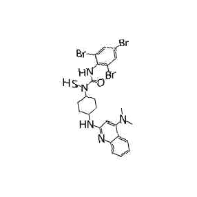 CN(C)c1cc(NC2CCC(N(S)C(=O)Nc3c(Br)cc(Br)cc3Br)CC2)nc2ccccc12